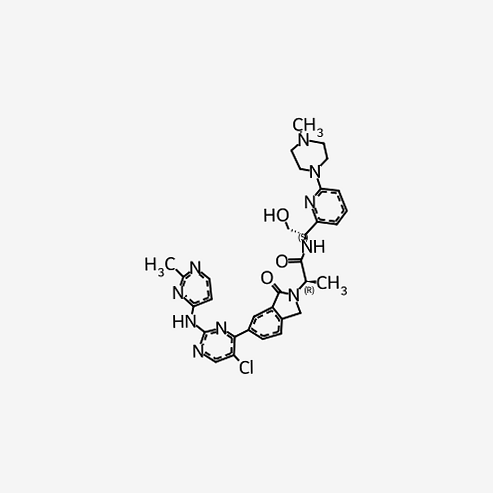 Cc1nccc(Nc2ncc(Cl)c(-c3ccc4c(c3)C(=O)N([C@H](C)C(=O)N[C@H](CO)c3cccc(N5CCN(C)CC5)n3)C4)n2)n1